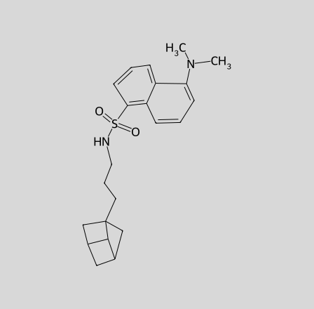 CN(C)c1cccc2c(S(=O)(=O)NCCCC34CC5CC(C3)C54)cccc12